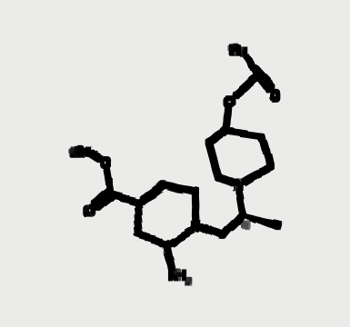 C[C@@H](CN1CCC(C(=O)OC(C)(C)C)CC1N)N1CCC(OC(=O)C(C)(C)C)CC1